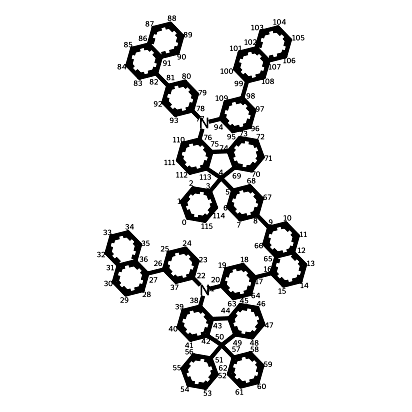 c1ccc(C2(c3ccc(-c4ccc5cccc(-c6ccc(N(c7cccc(-c8cccc9ccccc89)c7)c7cccc8c7-c7ccccc7C8(c7ccccc7)c7ccccc7)cc6)c5c4)cc3)c3ccccc3-c3c(N(c4ccc(-c5cccc6ccccc56)cc4)c4cccc(-c5ccc6ccccc6c5)c4)cccc32)cc1